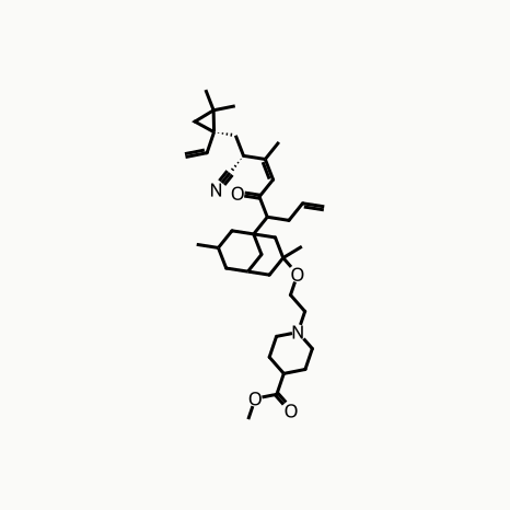 C=CCC(C(=O)/C=C(/C)[C@H](C#N)C[C@]1(C=C)CC1(C)C)C12CC(C)CC(CC(C)(OCCN3CCC(C(=O)OC)CC3)C1)C2